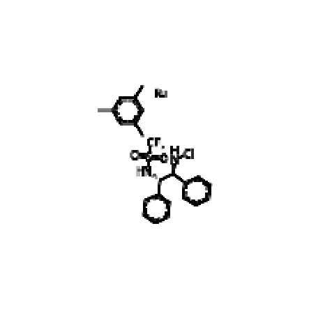 Cc1cc(C)cc(C)c1.O=S(=O)(N[C@@H](c1ccccc1)[C@@H](NCl)c1ccccc1)C(F)(F)F.[Ru]